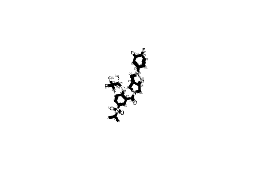 CC(C)S(=O)(=O)c1ccc(O[C@@H](C)C(F)(F)F)c(C(=O)N2Cc3cn(-c4ccc(F)c(F)c4)nc3C2)c1